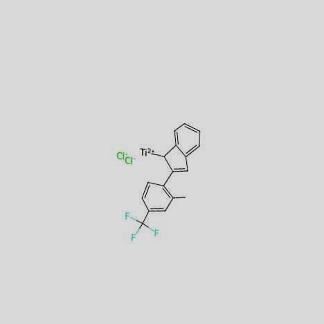 Cc1cc(C(F)(F)F)ccc1C1=Cc2ccccc2[CH]1[Ti+2].[Cl-].[Cl-]